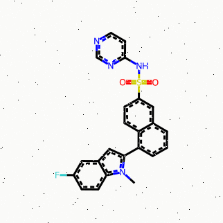 Cn1c(-c2cccc3cc(S(=O)(=O)Nc4ccncn4)ccc23)cc2cc(F)ccc21